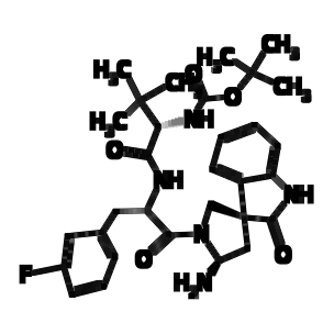 CC(C)(C)OC(=O)N[C@H](C(=O)NC(Cc1cccc(F)c1)C(=O)N1C[C@]2(C[C@H]1N)C(=O)Nc1ccccc12)C(C)(C)C